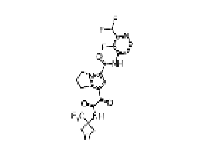 O=C(NC1(C(F)(F)F)COC1)C(=O)c1cc(C(=O)Nc2ccnc(C(F)F)c2F)n2c1CCC2